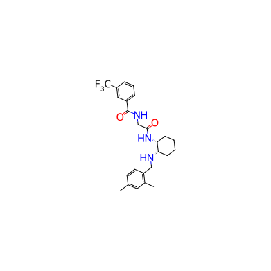 Cc1ccc(CN[C@H]2CCCC[C@H]2NC(=O)CNC(=O)c2cccc(C(F)(F)F)c2)c(C)c1